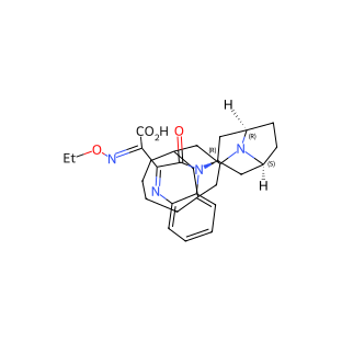 CCON=C(C(=O)O)c1nc2ccccc2n([C@H]2C[C@H]3CC[C@@H](C2)N3C2CC3CCCCC(C3)C2)c1=O